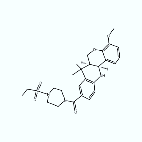 CCS(=O)(=O)N1CCN(C(=O)c2ccc3c(c2)C(C)(C)[C@H]2COc4c(OC)cccc4[C@H]2N3)CC1